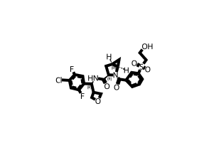 O=C(N[C@@H](c1cc(F)c(Cl)cc1F)C1COC1)[C@H]1C[C@H]2C[C@H]2N1C(=O)c1cccc(S(=O)(=O)CCO)c1